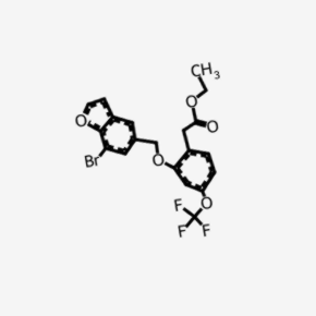 CCOC(=O)Cc1ccc(OC(F)(F)F)cc1OCc1cc(Br)c2occc2c1